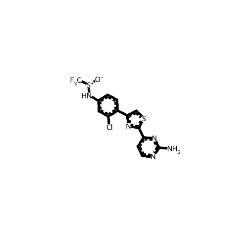 Nc1nccc(-c2nc(-c3ccc(N[S+]([O-])C(F)(F)F)cc3Cl)cs2)n1